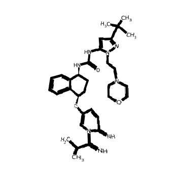 CC(C)C(=N)n1cc(O[C@@H]2CC[C@H](NC(=O)Nc3cc(C(C)(C)C)nn3CCN3CCOCC3)c3ccccc32)ccc1=N